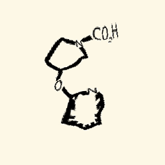 O=C(O)N1CCC(Oc2ccccn2)C1